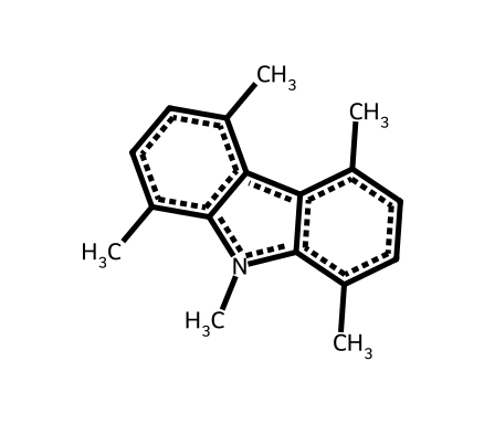 Cc1ccc(C)c2c1c1c(C)ccc(C)c1n2C